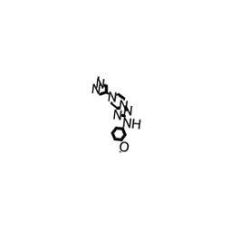 COc1cccc(Nc2nc3n(n2)C=CN(c2cnn(C)c2)C3)c1